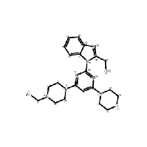 CC(=O)CN1CCN(c2cc(N3CCOCC3)nc(-n3c(CO)nc4ccccc43)n2)CC1